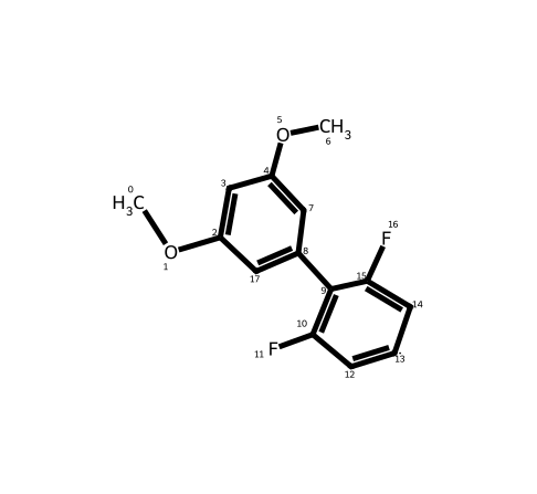 COc1cc(OC)cc(-c2c(F)c[c]cc2F)c1